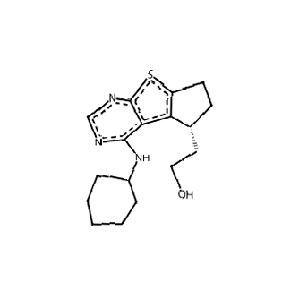 OCC[C@H]1CCc2sc3ncnc(NC4CCCCC4)c3c21